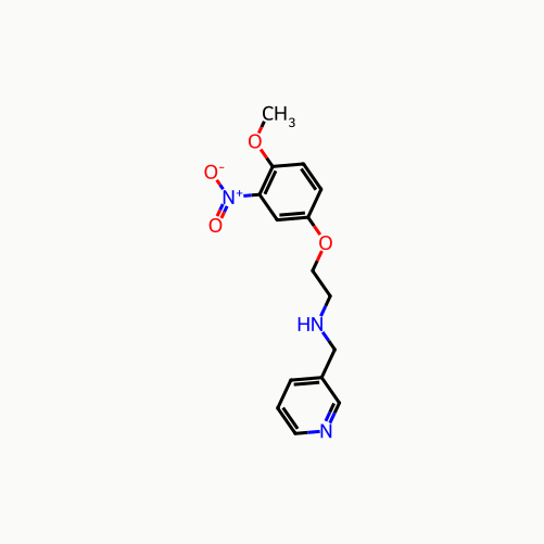 COc1ccc(OCCNCc2cccnc2)cc1[N+](=O)[O-]